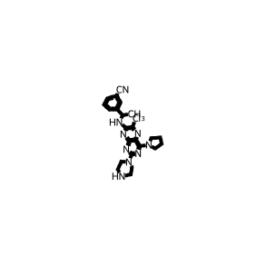 CC(Nc1nc2nc(N3CCNCC3)nc(N3CCCC3)c2nc1Cl)c1cccc(C#N)c1